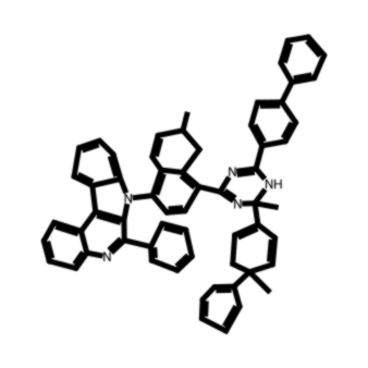 CC1C=Cc2c(-n3c4ccccc4c4c5ccccc5nc(-c5ccccc5)c43)ccc(C3=NC(C)(C4=CCC(C)(c5ccccc5)C=C4)NC(c4ccc(-c5ccccc5)cc4)=N3)c2C1